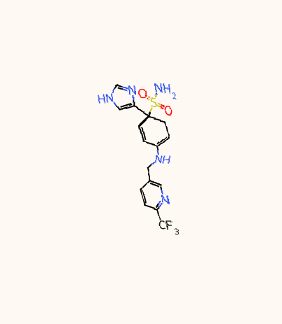 NS(=O)(=O)C1(c2c[nH]cn2)C=CC(NCc2ccc(C(F)(F)F)nc2)=CC1